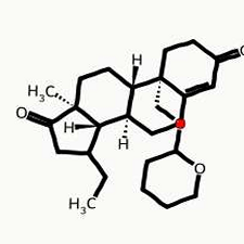 CCC1CC(=O)[C@@]2(C)CC[C@H]3[C@@H](CCC4=CC(=O)CC[C@@]43COC3CCCCO3)[C@H]12